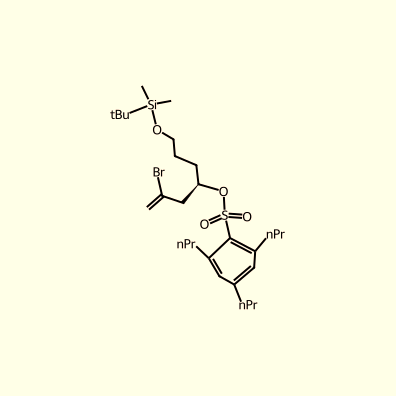 C=C(Br)C[C@@H](CCCO[Si](C)(C)C(C)(C)C)OS(=O)(=O)c1c(CCC)cc(CCC)cc1CCC